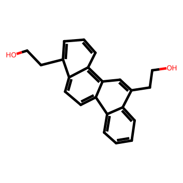 OCCc1cc2c3cccc(CCO)c3ccc2c2ccccc12